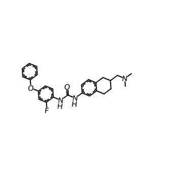 CN(C)CC1CCc2cc(NC(=O)Nc3ccc(Oc4ccccc4)cc3F)ccc2C1